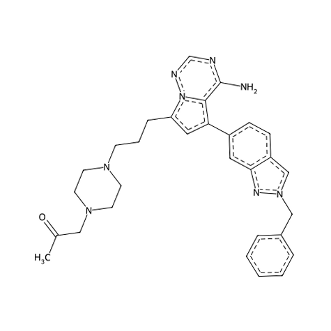 CC(=O)CN1CCN(CCCc2cc(-c3ccc4cn(Cc5ccccc5)nc4c3)c3c(N)ncnn23)CC1